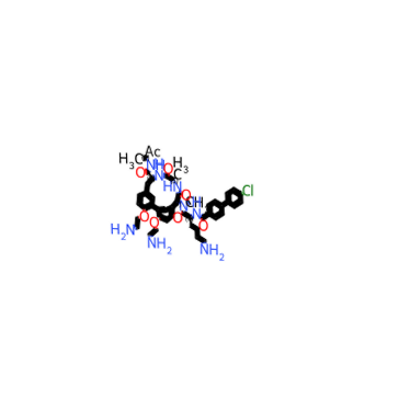 CC(=O)[C@H](C)NC(=O)[C@@H]1Cc2ccc(OCCN)c(c2)-c2cc(ccc2OCCN)[C@H](N(C)C(=O)[C@H](CCCCN)NC(=O)c2ccc(-c3ccc(Cl)cc3)cc2)C(=O)N[C@@H](C)C(=O)N1